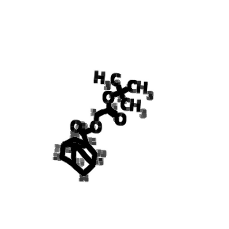 CC(C)(C)OC(=O)COC(=O)C12CC3CC(CC(C3)C1)C2